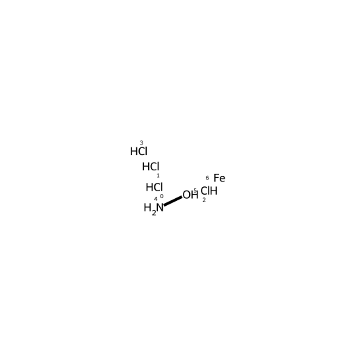 Cl.Cl.Cl.Cl.NO.[Fe]